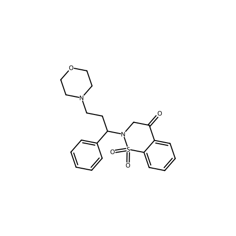 O=C1CN(C(CCN2CCOCC2)c2ccccc2)S(=O)(=O)c2ccccc21